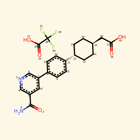 NC(=O)c1cncc(-c2ccc([C@H]3CC[C@H](CC(=O)O)CC3)cc2)c1.O=C(O)C(F)(F)F